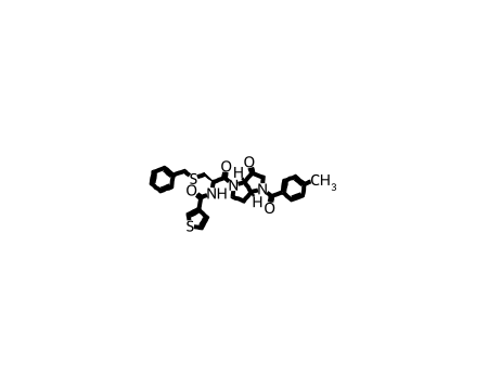 Cc1ccc(C(=O)N2CC(=O)[C@@H]3[C@H]2CCN3C(=O)[C@H](CSCc2ccccc2)NC(=O)c2ccsc2)cc1